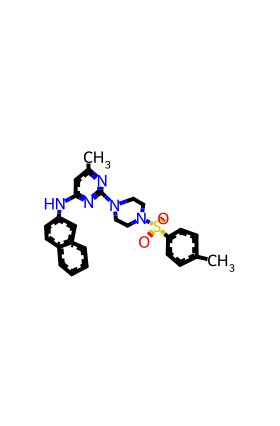 Cc1ccc(S(=O)(=O)N2CCN(c3nc(C)cc(Nc4ccc5ccccc5c4)n3)CC2)cc1